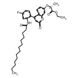 CCCCCCCCCCCCCC(=O)Nc1cc(F)ccc1-c1cc(=O)oc2cc(O[C@H](C)C(=O)OCC)ccc12